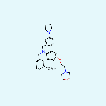 COc1cccc(CN(Cc2cccc(N3CCCC3)c2)c2ccc(OCCN3CCOCC3)cc2)c1